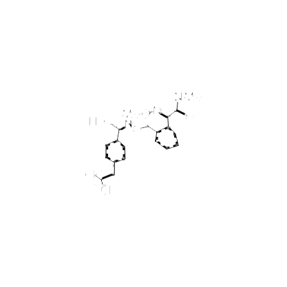 CNC(=O)/C(=N/OC)c1ccccc1CON=C(C)c1ccc(C=C(Cl)Cl)cc1